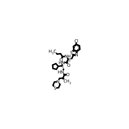 C=C(CN1CCSCC1)C(=O)NC[C@@H](NC(=O)[C@H](Cc1nc2ccc(Cl)cc2s1)NC(=O)CCC)C1CCCC1